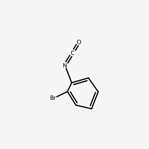 O=C=Nc1cc[c]cc1Br